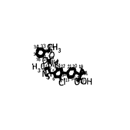 Cc1nsc(-c2cc(Cl)c(-c3ccc(C4(C(=O)O)CC4)cc3)cc2F)c1NC(=O)O[C@H](C)c1ccccc1